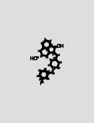 Cl.OC1c2cccc3c2C(CCC3)C1CC1CCN(Cc2cccc(F)c2)CC1